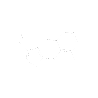 O=Cc1csc(Nc2c(Cl)cncc2Cl)n1